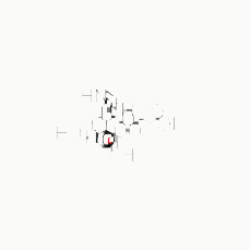 C[C@H]1[C@@H](OC(=O)CCC(=O)O)O[C@@H]2O[C@@]3(C)CC[C@H]4[C@H](C)CC[C@@H]1[C@@]24OO3.c1c[nH]cn1